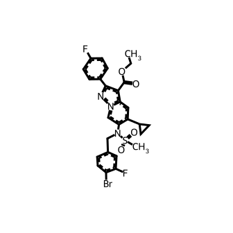 CCOC(=O)c1c(-c2ccc(F)cc2)nn2cc(N(Cc3ccc(Br)c(F)c3)S(C)(=O)=O)c(C3CC3)cc12